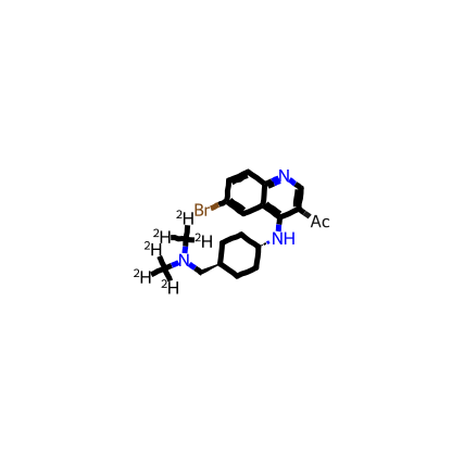 [2H]C([2H])([2H])N(C[C@H]1CC[C@H](Nc2c(C(C)=O)cnc3ccc(Br)cc23)CC1)C([2H])([2H])[2H]